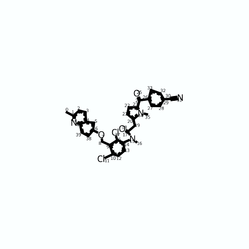 Cc1ccc2cc(OCc3c(Cl)ccc(N(C)C(=O)Cc4ccc(C(=O)c5ccc(C#N)cc5)n4C)c3Cl)ccc2n1